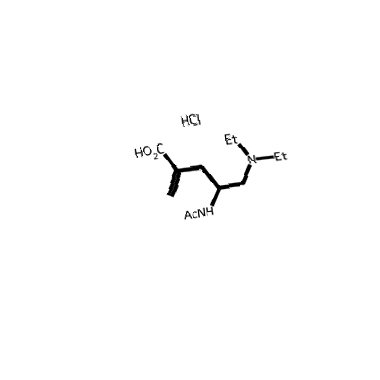 C=C(CC(CN(CC)CC)NC(C)=O)C(=O)O.Cl